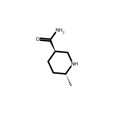 C[C@@H]1CC[C@@H](C(N)=O)CN1